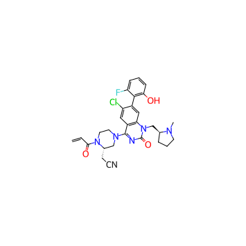 C=CC(=O)N1CCN(c2nc(=O)n(C[C@@H]3CCCN3C)c3cc(-c4c(O)cccc4F)c(Cl)cc23)C[C@@H]1CC#N